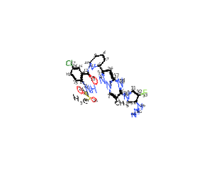 Cc1cn2nc([C@@H]3CCCCN3C(=O)c3cc(Cl)ccc3NS(C)(=O)=O)cc2nc1N1CC(F)C(N=[N+]=[N-])C1